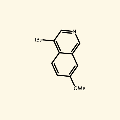 COc1ccc2c(C(C)(C)C)cncc2c1